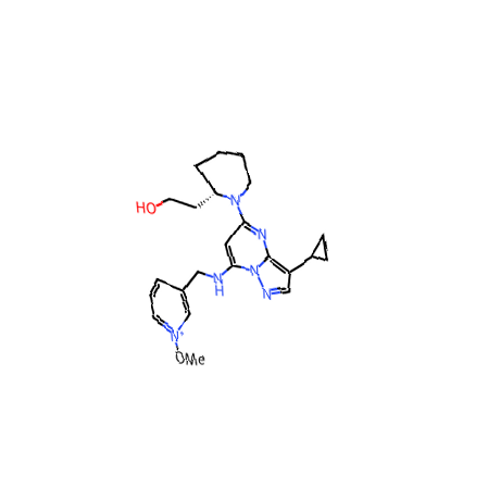 CO[n+]1cccc(CNc2cc(N3CCCC[C@H]3CCO)nc3c(C4CC4)cnn23)c1